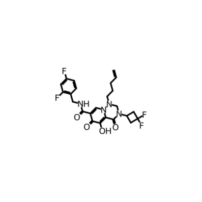 C=CCCCN1CN(C2CC(F)(F)C2)C(=O)c2c(O)c(=O)c(C(=O)NCc3ccc(F)cc3F)cn21